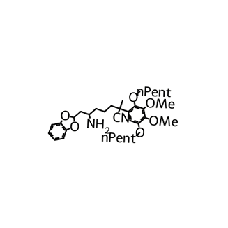 CCCCCOc1cc(C(C)(C#N)CCCC(N)CC2Oc3ccccc3O2)c(OCCCCC)c(OC)c1OC